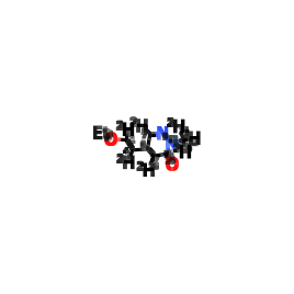 [2H]C(OCC)=C([2H])c1c([2H])nn(C([2H])([2H])[2H])c(=O)c1[2H]